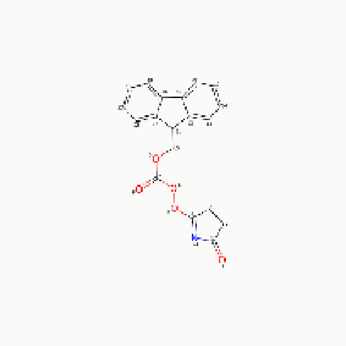 O=C1CCC(OOC(=O)OCC2c3ccccc3-c3ccccc32)=N1